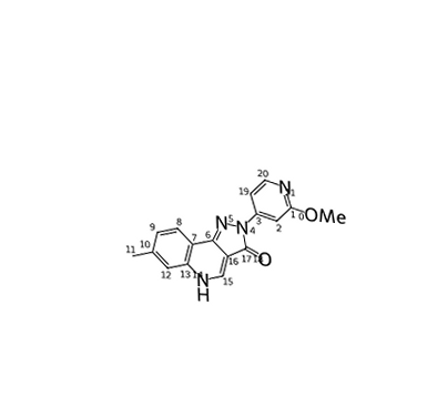 COc1cc(-n2nc3c4ccc(C)cc4[nH]cc-3c2=O)ccn1